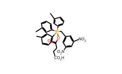 Cc1cccc(P(Cc2cc([N+](=O)[O-])cc([N+](=O)[O-])c2)(OC(=O)CCC(=O)O)(c2cccc(C)c2)c2cccc(C)c2)c1